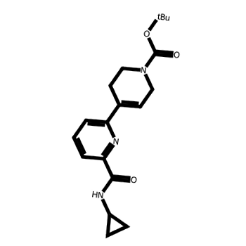 CC(C)(C)OC(=O)N1CC=C(c2cccc(C(=O)NC3CC3)n2)CC1